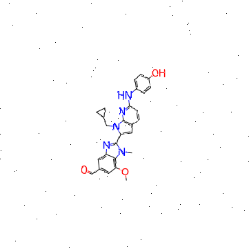 COc1cc(C=O)cc2nc(-c3cc4ccc(Nc5ccc(O)cc5)nc4n3CC3CC3)n(C)c12